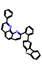 c1ccc(-c2ccc3ccc4ccc(-c5ccccc5-c5ccc6sc7ccccc7c6c5)nc4c3n2)cc1